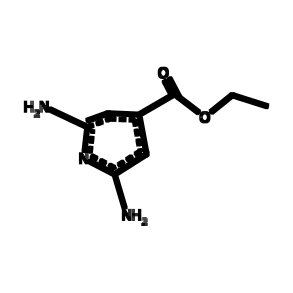 CCOC(=O)c1cc(N)nc(N)c1